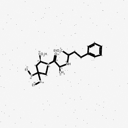 CCOC(=O)C(CCc1ccccc1)N[C@@H](C)C(=O)N1CC(SCC)(SCC)C[C@H]1C(=O)O